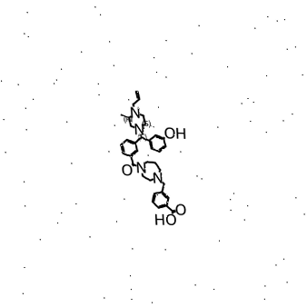 C=CCN1C[C@H](C)N([C@@H](c2cccc(O)c2)c2cccc(C(=O)N3CCCN(Cc4cccc(C(=O)O)c4)CC3)c2)C[C@H]1C